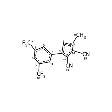 Cn1cc(-c2cc(C(F)(F)F)cc(C(F)(F)F)c2)c(C#N)c1C#N